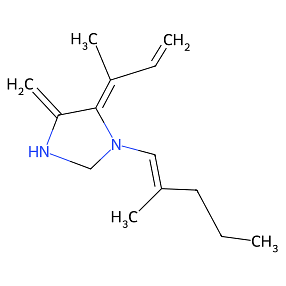 C=C/C(C)=C1/C(=C)NCN1/C=C(\C)CCC